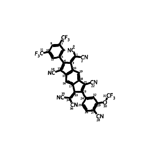 N#CC(C#N)=C1C(c2cc(C(F)(F)F)cc(C(F)(F)F)c2)=C(C#N)c2cc3c(cc21)C(C#N)=C(c1ccc(C#N)c(OC(F)(F)F)c1)C3=C(C#N)C#N